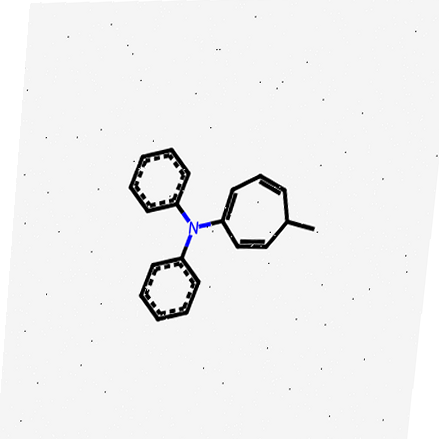 CC1C=CC=C(N(c2ccccc2)c2ccccc2)C=C1